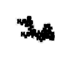 C=C1C[C@H](CCCO[Si](c2ccccc2)(c2ccccc2)C(C)(C)C)OC1CCC1C[C@@H](C)C(=O)O1